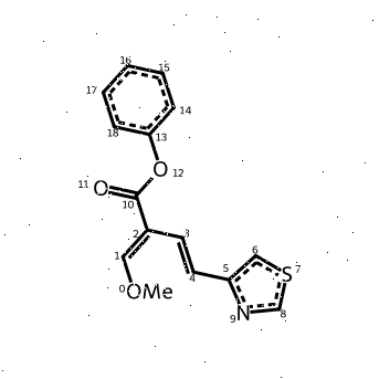 COC=C(C=Cc1cscn1)C(=O)Oc1ccccc1